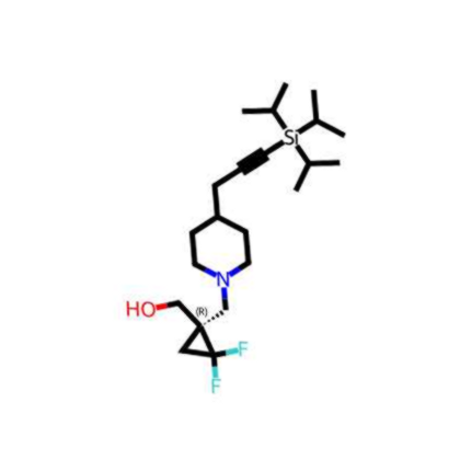 CC(C)[Si](C#CCC1CCN(C[C@@]2(CO)CC2(F)F)CC1)(C(C)C)C(C)C